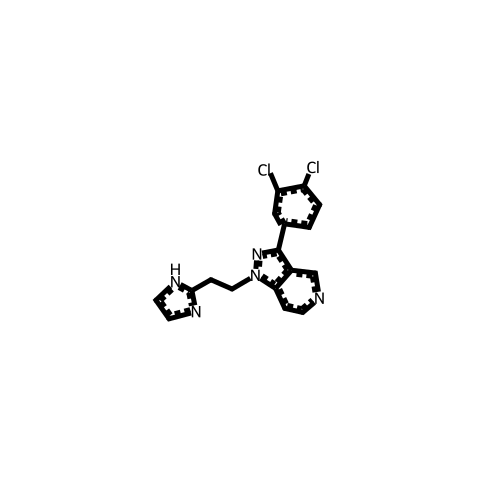 Clc1ccc(-c2nn(CCc3ncc[nH]3)c3ccncc23)cc1Cl